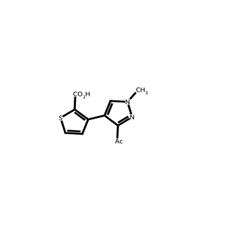 CC(=O)c1nn(C)cc1-c1ccsc1C(=O)O